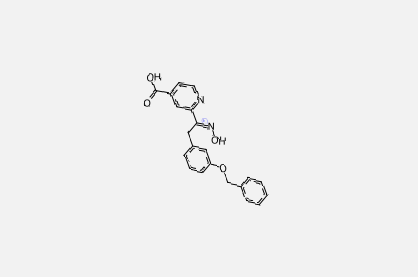 O=C(O)c1ccnc(/C(Cc2cccc(OCc3ccccc3)c2)=N/O)c1